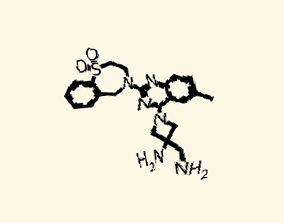 Cc1ccc2nc(N3CCS(=O)(=O)c4ccccc4C3)nc(N3CC(N)(CN)C3)c2c1